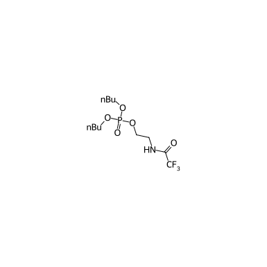 CCCCOP(=O)(OCCCC)OCCNC(=O)C(F)(F)F